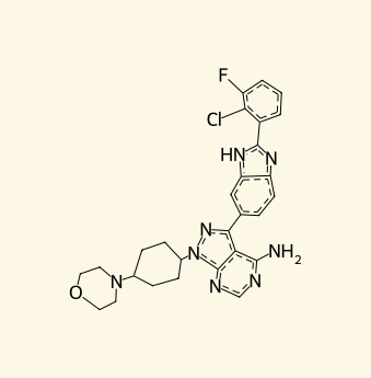 Nc1ncnc2c1c(-c1ccc3nc(-c4cccc(F)c4Cl)[nH]c3c1)nn2C1CCC(N2CCOCC2)CC1